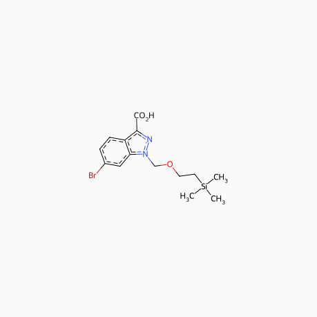 C[Si](C)(C)CCOCn1nc(C(=O)O)c2ccc(Br)cc21